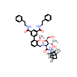 COc1c(CN2O[C@@H](CO)[C@H]([C@H](C)O)[C@H]2C(=O)N[C@H]2C[C@H]3C[C@@H]([C@@H]2C)C3(C)C)cccc1-c1cc(C(=O)NCCc2ccccc2)cc(C(=O)NCCc2ccccc2)c1